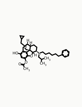 CC(=O)Oc1cc(O)c2c3c1O[C@H]1[C@H](N(CCCCCCc4ccccc4)CC(C)C)CC[C@H]4[C@@H](C2)N(CC2CC2)CC[C@@]341